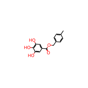 Cc1ccc(COC(=O)c2cc(O)c(O)c(O)c2)cc1